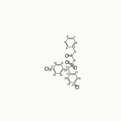 O=C(Cc1ccccc1)CS(=O)(=O)C(c1ccc(Cl)cc1)c1ccc(Cl)cc1